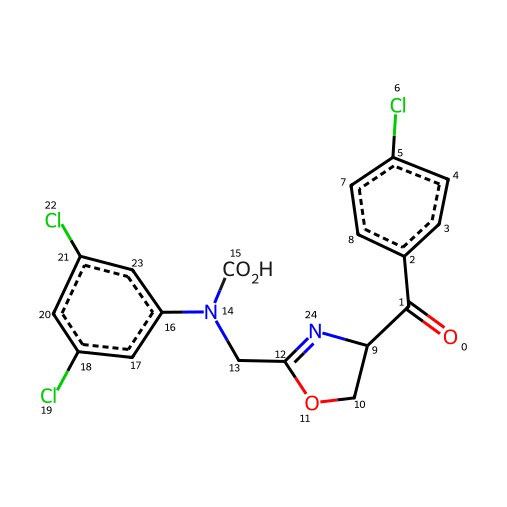 O=C(c1ccc(Cl)cc1)C1COC(CN(C(=O)O)c2cc(Cl)cc(Cl)c2)=N1